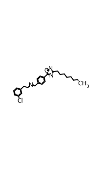 CCCCCCCCc1noc(-c2ccc(C[N]CCc3cccc(Cl)c3)cc2)n1